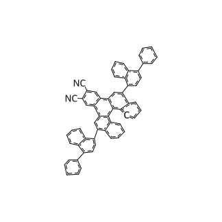 N#Cc1cc2c(cc1C#N)c1cc(-c3ccc(-c4ccccc4)c4ccccc34)c3ccccc3c1c1c3ccccc3c(-c3ccc(-c4ccccc4)c4ccccc34)cc21